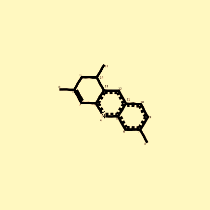 CC1=Cc2nc3cc(C)ccc3cc2C(C)C1